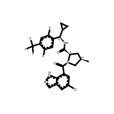 C[C@@H]1C[C@H](C(=O)N[C@@H](c2cc(F)c(C(F)(F)F)cc2F)C2CC2)N(C(=O)c2cc(Cl)cc3cn[nH]c23)C1